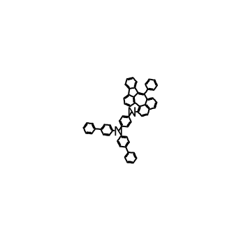 c1ccc(-c2ccc(N(c3ccc(-c4ccccc4)cc3)c3ccc(-n4c5ccc6c7c5c5c8c(cccc8c(-c8ccccc8)c-7c7ccccc76)ccc54)cc3)cc2)cc1